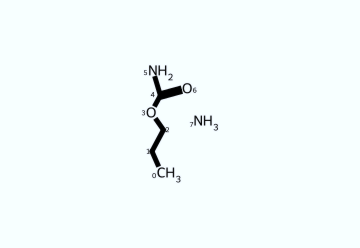 CCCOC(N)=O.N